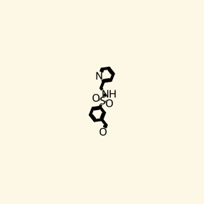 O=Cc1cccc(S(=O)(=O)NCc2ccccn2)c1